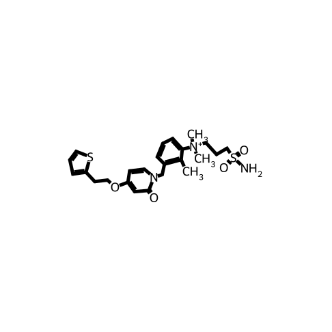 Cc1c(Cn2ccc(OCCc3cccs3)cc2=O)cccc1[N+](C)(C)CCCS(N)(=O)=O